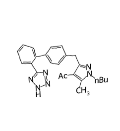 CCCCn1nc(Cc2ccc(-c3ccccc3-c3nn[nH]n3)cc2)c(C(C)=O)c1C